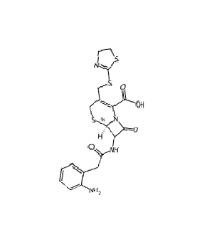 Nc1ccccc1CC(=O)NC1C(=O)N2C(C(=O)O)=C(CSC3=NCCS3)CS[C@H]12